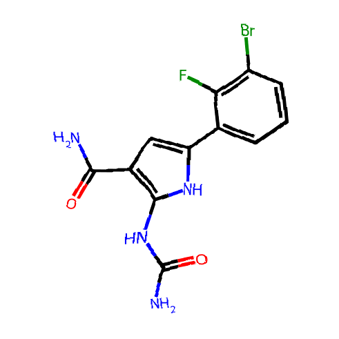 NC(=O)Nc1[nH]c(-c2cccc(Br)c2F)cc1C(N)=O